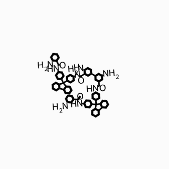 Nc1cccc(C(=O)Nc2ccc(C3(c4ccc(NC(=O)c5cc(N)cc(-c6ccc(N)c(C(=O)Nc7ccc(C8(c9ccc(NC(=O)c%10ccccc%10N)cc9)c9ccccc9-c9ccccc98)cc7)c6)c5)cc4)c4ccccc4-c4ccccc43)cc2)c1